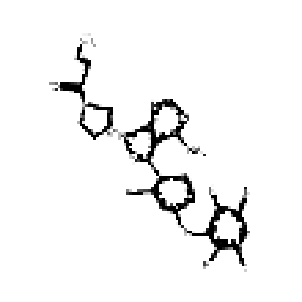 CC=CC(=O)N1CC[C@@H](n2nc(-c3ccc(Oc4c(F)c(F)cc(F)c4F)cc3F)c3c(N)ncnc32)C1